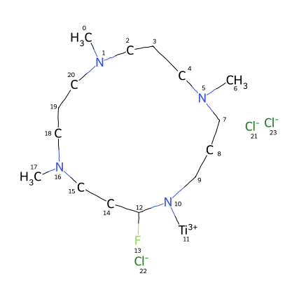 CN1CCCN(C)CCC[N]([Ti+3])C(F)CCN(C)CCC1.[Cl-].[Cl-].[Cl-]